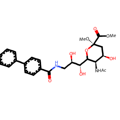 COC(=O)[C@@]1(OC)C[C@@H](O)[C@@H](NC(C)=O)C([C@H](O)[C@H](O)CNC(=O)c2ccc(-c3ccccc3)cc2)O1